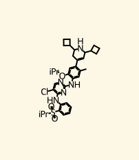 Cc1cc(Nc2ncc(Cl)c(Nc3ccccc3S(=O)(=O)C(C)C)n2)c(OC(C)C)cc1C1=CC(C2CCC2)NC(C2CCC2)C1